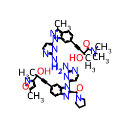 Cc1cc(C(C)(O)C#Cc2ccc3nc(C(=O)N4CCCC4)n(-c4ccnc(N)n4)c3c2)no1.Cc1nn(-c2ccnc(N)n2)c2cc(C#CC(C)(O)C(=O)N(C)C)ccc12